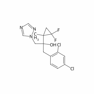 CC1(C(O)(Cc2ccc(Cl)cc2Cl)Cn2cncn2)CC1(F)F